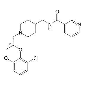 O=C(NCC1CCN(C[C@H]2COc3cccc(Cl)c3O2)CC1)c1cccnc1